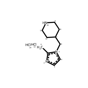 Cc1nccn1CC1CCNCC1.Cl.Cl